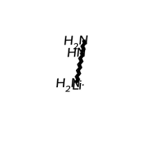 NCCCCCCCCCNCCCN.[Li]